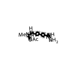 CNC(c1nc(-c2ccc(-c3ccc(-c4c[nH]c(CN)n4)cc3)cc2)c[nH]1)C(C)(C)COC(C)=O